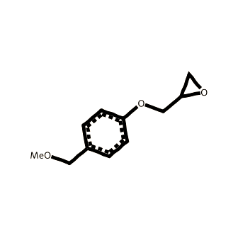 [CH2]OCc1ccc(OCC2CO2)cc1